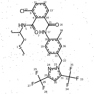 CSCC(C)NC(=O)c1c(Cl)cccc1C(=O)Nc1ccc(Cn2nc(C(F)(F)F)cc2C(F)(F)F)cc1C